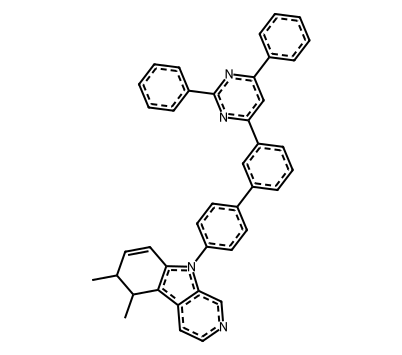 CC1C=Cc2c(c3ccncc3n2-c2ccc(-c3cccc(-c4cc(-c5ccccc5)nc(-c5ccccc5)n4)c3)cc2)C1C